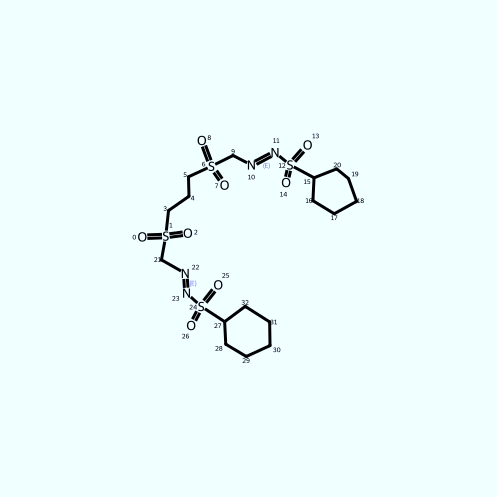 O=S(=O)(CCCS(=O)(=O)C/N=N/S(=O)(=O)C1CCCCC1)C/N=N/S(=O)(=O)C1CCCCC1